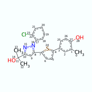 Cc1cc(-c2ccc(-c3cc(C(C)(C)O)nn3-c3ccccc3Cl)s2)ccc1O